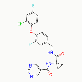 O=C(NC1(C(=O)NCc2ccc(Oc3ccc(F)cc3Cl)c(F)c2)CC1)c1cncnc1